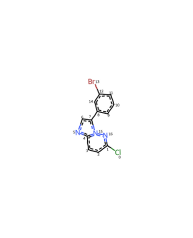 Clc1ccc2ncc(-c3cccc(Br)c3)n2n1